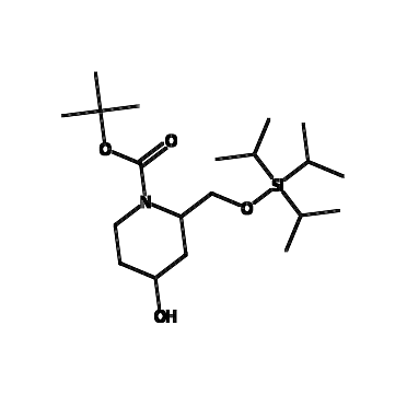 CC(C)[Si](OCC1CC(O)CCN1C(=O)OC(C)(C)C)(C(C)C)C(C)C